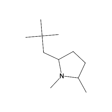 CC1CCC(CC(C)(C)C)N1C